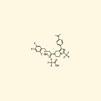 CN(C)c1ccc(-c2nc(C(F)(F)F)n3c2CN(C(=O)C[C@H](N)Cc2cc(F)c(F)cc2F)CC3)cc1.O=C(O)C(F)(F)F